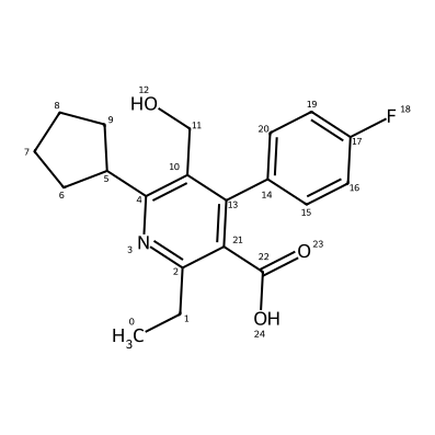 CCc1nc(C2CCCC2)c(CO)c(-c2ccc(F)cc2)c1C(=O)O